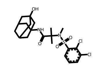 CN(C(C)(C)C(=O)NC12CC3CC(CC(O)(C3)C1)C2)S(=O)(=O)c1cccc(Cl)c1Cl